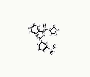 O=[N+]([O-])c1cccc(-c2nc(NC3CCCC3)c3ccccc3n2)c1